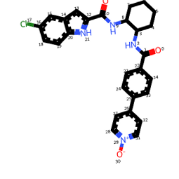 O=C(NC1CCCCC1NC(=O)c1cc2cc(Cl)ccc2[nH]1)c1ccc(-c2cc[n+]([O-])cc2)cc1